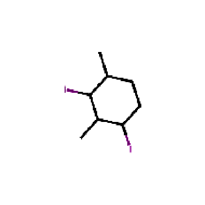 CC1CCC(I)C(C)C1I